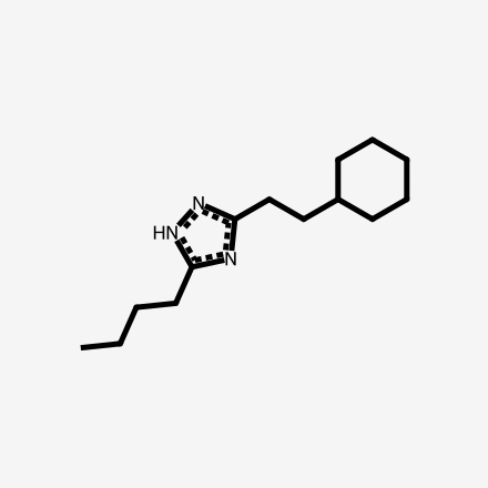 CCCCc1nc(CCC2CCCCC2)n[nH]1